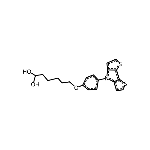 OC(O)CCCCCOc1ccc(-n2c3ccsc3c3sccc32)cc1